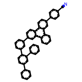 N#Cc1ccc(-c2ccc3c4ccc(-c5cccc(-c6ccc(-c7ccccc7)cc6-c6ccccc6)c5)cc4c4ccccc4c3c2)cc1